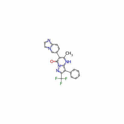 Cc1[nH]c2c(-c3ccccc3)c(C(F)(F)F)nn2c(=O)c1-c1ccc2nccn2c1